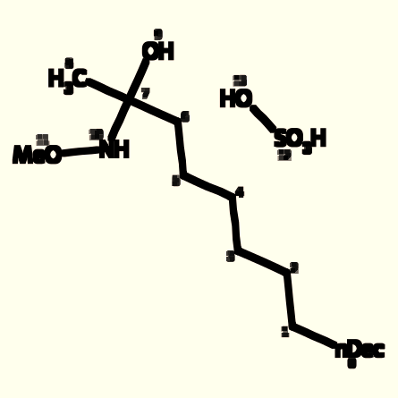 CCCCCCCCCCCCCCCCC(C)(O)NOC.O=S(=O)(O)O